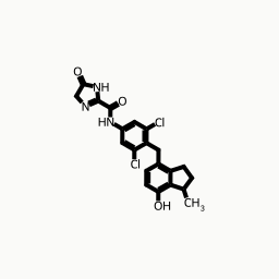 CC1CCc2c(Cc3c(Cl)cc(NC(=O)C4=NCC(=O)N4)cc3Cl)ccc(O)c21